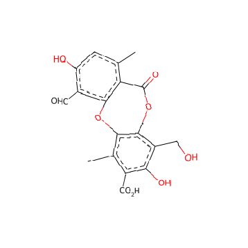 Cc1cc(O)c(C=O)c2c1C(=O)Oc1c(CO)c(O)c(C(=O)O)c(C)c1O2